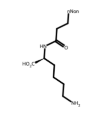 CCCCCCCCCCCC(=O)N[C@@H](CCCCN)C(=O)O